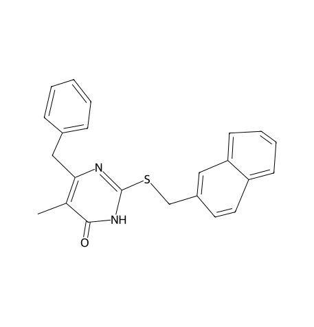 Cc1c(Cc2ccccc2)nc(SCc2ccc3ccccc3c2)[nH]c1=O